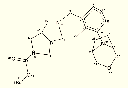 Cc1c(CN2CC3CN(C(=O)OC(C)(C)C)CC3C2)cccc1N1C2CCC1COC2